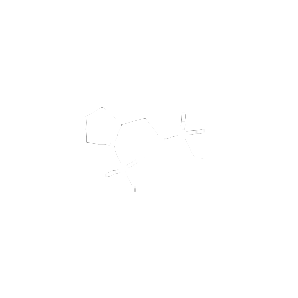 CC(C)S(=O)(=O)OCC1CCCN1S(=O)(=O)C(C)C